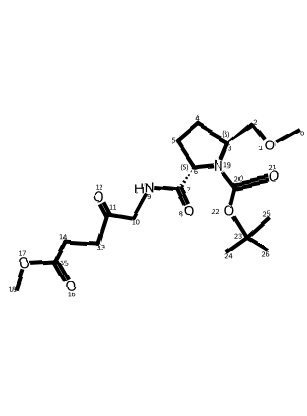 COC[C@@H]1CC[C@@H](C(=O)NCC(=O)CCC(=O)OC)N1C(=O)OC(C)(C)C